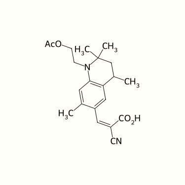 CC(=O)OCCN1c2cc(C)c(C=C(C#N)C(=O)O)cc2C(C)CC1(C)C